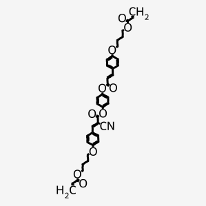 C=CC(=O)OCCCCOc1ccc(/C=C/C(=O)Oc2ccc(OC(=O)/C(C#N)=C/c3ccc(OCCCCOC(=O)C=C)cc3)cc2)cc1